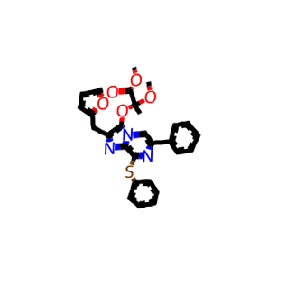 COC(=O)C(C)(OC)Oc1c(Cc2ccco2)nc2c(Sc3ccccc3)nc(-c3ccccc3)cn12